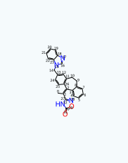 CC(=C1c2ccccc2CCc2cc(Cn3cnc4ccccc43)ccc21)c1noc(=O)[nH]1